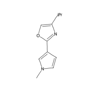 CC(C)c1coc(-c2ccn(C)c2)n1